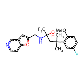 COc1ccc(F)cc1C(C)(C)CC(O)(NCc1cc2cnccc2o1)C(F)(F)F